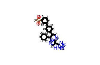 CS(=O)(=O)c1cccc(-c2ccc(-c3cnc4c(-c5nnn[nH]5)cnn4c3C3CCCCC3)cc2)c1